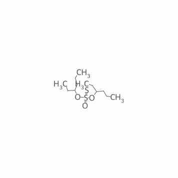 CCCC(CC)OS(=O)(=S)OC(CC)CCC